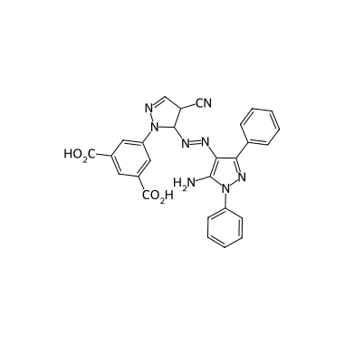 N#CC1C=NN(c2cc(C(=O)O)cc(C(=O)O)c2)C1/N=N/c1c(-c2ccccc2)nn(-c2ccccc2)c1N